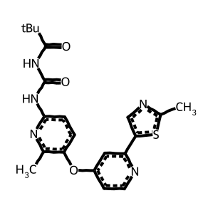 Cc1ncc(-c2cc(Oc3ccc(NC(=O)NC(=O)C(C)(C)C)nc3C)ccn2)s1